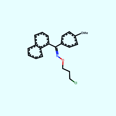 COc1ccc(C(=NOCCCCl)c2cccc3ccccc23)cc1